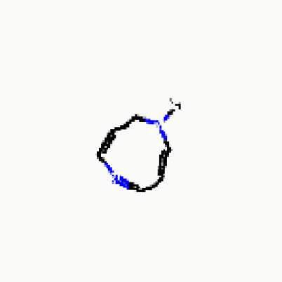 [2H]N1C=CC=NC=CC1